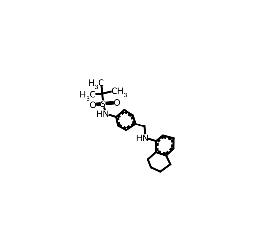 CC(C)(C)S(=O)(=O)Nc1ccc(CNc2cccc3c2CCCC3)cc1